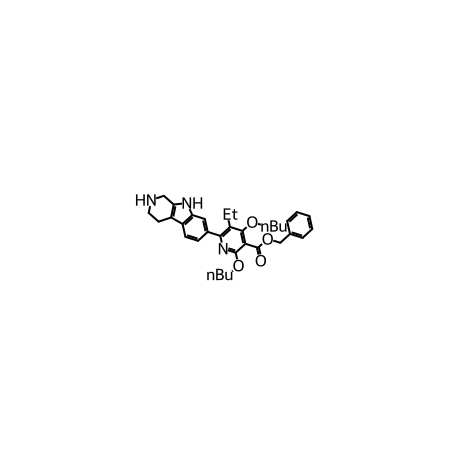 CCCCOc1nc(-c2ccc3c4c([nH]c3c2)CNCC4)c(CC)c(OCCCC)c1C(=O)OCc1ccccc1